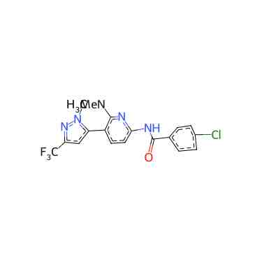 CNc1nc(NC(=O)c2ccc(Cl)cc2)ccc1-c1cc(C(F)(F)F)nn1C